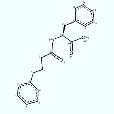 O=C(CCCc1ccccc1)N[C@@H](Cc1ccccc1)C(=O)O